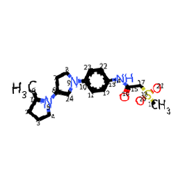 CC1CCCN1C1CCN(c2ccc(NC(=O)CS(C)(=O)=O)cc2)C1